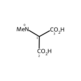 CNC(C(=O)O)C(=O)O